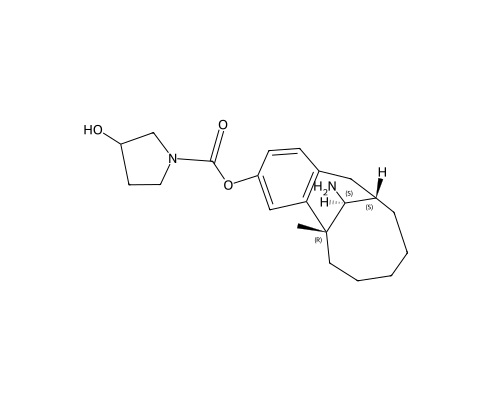 C[C@@]12CCCCC[C@@H](Cc3ccc(OC(=O)N4CCC(O)C4)cc31)[C@@H]2N